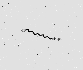 C[C]C=CCCCCCCCCCCCCCCC